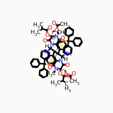 CC(=O)OC[C@@]1(OC(=O)C(C)C)C(=O)N2[C@H]3Nc4ccccc4[C@@]3([C@]34C[C@]5(SSC(c6ccccc6)(c6ccccc6)c6ccccc6)C(=O)N(C)[C@](COC(C)=O)(OC(=O)C(C)C)C(=O)N5[C@H]3Nc3ccccc34)C[C@]2(SSC(c2ccccc2)(c2ccccc2)c2ccccc2)C(=O)N1C